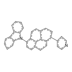 c1ccc2c(c1)c1ccccc1n2-c1ccc2ccc3c(-c4ccncc4)ccc4ccc1c2c43